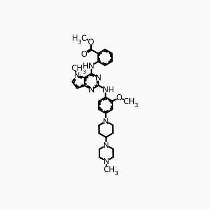 COC(=O)c1ccccc1Nc1nc(Nc2ccc(N3CCC(N4CCN(C)CC4)CC3)cc2OC)nc2ccn(C)c12